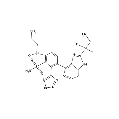 NCC[S+]([O-])c1ccc(-c2cccc3[nH]c(C(F)(F)CN)nc23)c(-c2nn[nH]n2)c1S(N)(=O)=O